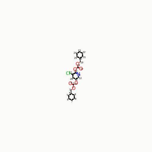 O=C(OCc1ccccc1)Oc1cnc(OC(=O)OCc2ccccc2)c(Cl)c1